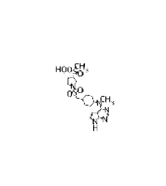 CN(c1ncnc2[nH]ccc12)C1CCC(CS(=O)(=O)N2C[C@H](CO)[C@H](S(C)(=O)=O)C2)CC1